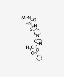 CNC(=O)Nc1nc2c(s1)CN(c1nnc([C@@H](C)OC(=O)C3CCCC3)o1)CC2